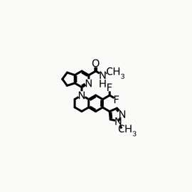 CNC(=O)c1cc2c(c(N3CCCc4cc(-c5cnn(C)c5)c(C(F)F)cc43)n1)CCC2